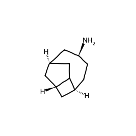 N[C@H]1CC[C@H]2C[C@@H]3C[C@H](CC23)C1